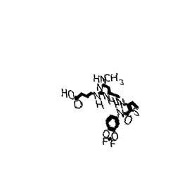 CNc1cc(CNc2ccsc2C(=O)Nc2ccc3c(c2)OC(F)(F)O3)nc(NCCCC(=O)O)n1